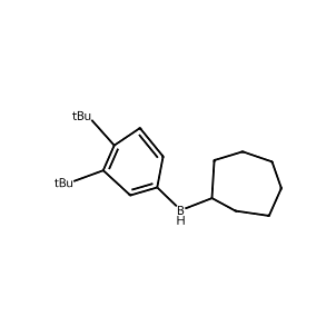 CC(C)(C)c1ccc(BC2CCCCCC2)cc1C(C)(C)C